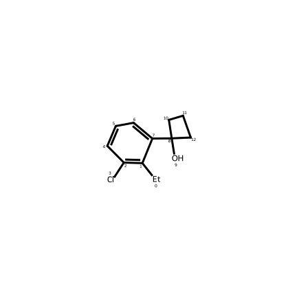 CCc1c(Cl)cccc1C1(O)CCC1